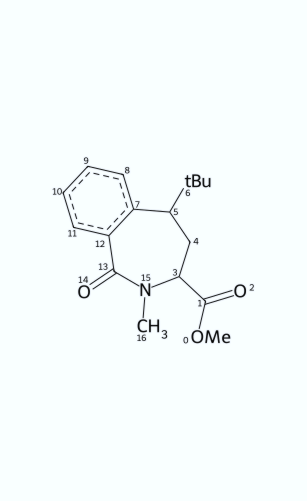 COC(=O)C1CC(C(C)(C)C)c2ccccc2C(=O)N1C